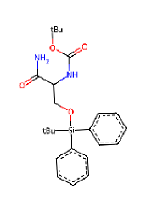 CC(C)(C)OC(=O)NC(CO[Si](c1ccccc1)(c1ccccc1)C(C)(C)C)C(N)=O